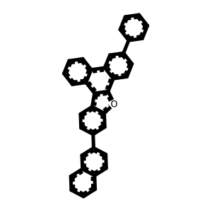 c1ccc(-c2ccc3c(c2)c2ccccc2c2c4ccc(-c5ccc6ccccc6c5)cc4oc32)cc1